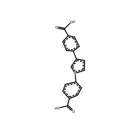 O=C(O)c1ccc(-c2ccn(-c3ccc(C(=O)O)cc3)c2)cc1